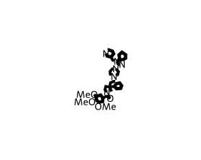 COc1cc(C(=O)N2CCC(CCN3CCCN(c4nc5ccccc5n4Cc4cccnc4)CC3)(c3ccccc3)C2)cc(OC)c1OC